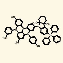 CC(C)(C)c1ccc(N2c3cc(N4c5ccc([Si](c6ccccc6)(c6ccccc6)c6ccccc6)cc5C5(C)CCCCC45C)ccc3B3c4ccc(C(C)(C)C)cc4N(c4cccc(C(C)(C)C)c4)c4cc(C(C)(C)C)cc2c43)cc1